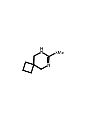 CSC1=NCC2(CCC2)CN1